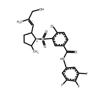 C/C(=C\C1CCC(C)[C@@H]1S(=O)(=O)c1cc(C(=O)Nc2cc(F)c(F)c(F)c2)ccc1Cl)CO